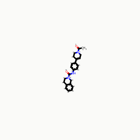 CC(=O)N1CC=C(c2ccc(NC(=O)N3CCc4ccccc4C3)cc2)CC1